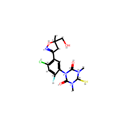 CN1C(=O)N(c2cc(C3=NOC(C)(CO)C3)c(Cl)cc2F)C(=O)N(C)C1S